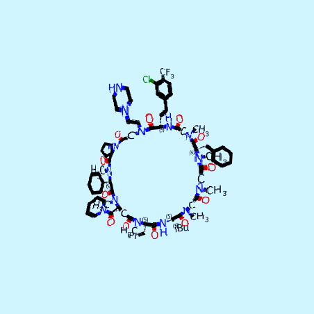 CC[C@H](C)[C@@H]1NC(=O)[C@H](CC(C)C)N(C)C(=O)C[C@@H](C(=O)N2CCCCC2)N(C)C(=O)[C@H](C2CCCCC2)N(C)C(=O)C2(CCCC2)NC(=O)CN(CCN2CCNCC2)C(=O)[C@H](CCc2ccc(C(F)(F)F)c(Cl)c2)NC(=O)CN(C)C(=O)[C@H](CC2CCCCC2)N(C)C(=O)CN(C)C(=O)CN(C)C1=O